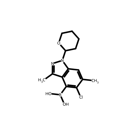 Cc1cc2c(c(C)nn2C2CCCCO2)c(B(O)O)c1Cl